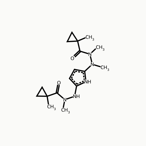 CN(Nc1ccc(N(C)N(C)C(=O)C2(C)CC2)[nH]1)C(=O)C1(C)CC1